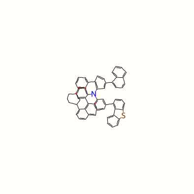 c1ccc(-c2ccc(-c3cccc4ccccc34)cc2N(c2cccc(-c3cccc4sc5ccccc5c34)c2)c2ccccc2-c2cccc3cccc(C4CCCCC4)c23)cc1